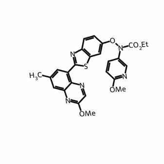 CCOC(=O)N(Oc1ccc2nc(-c3cc(C)cc4nc(OC)cnc34)sc2c1)c1ccc(OC)nc1